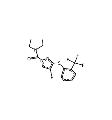 CCN(CC)C(=O)n1cc(F)c(Sc2ccccc2C(F)(F)F)n1